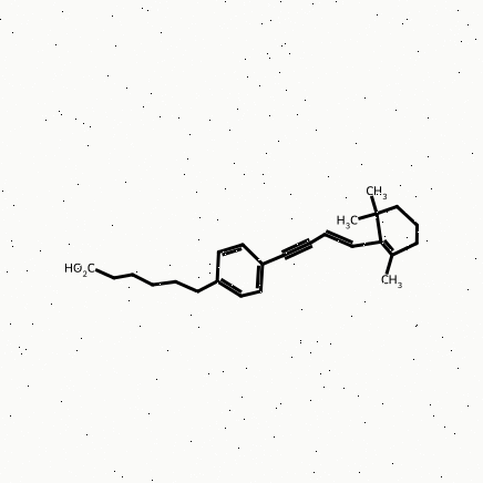 CC1=C(C=CC#Cc2ccc(CCCCCC(=O)O)cc2)C(C)(C)CCC1